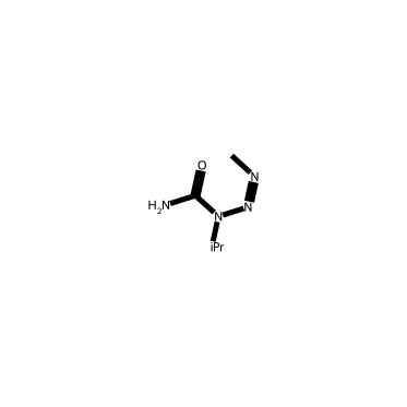 C/N=N\N(C(N)=O)C(C)C